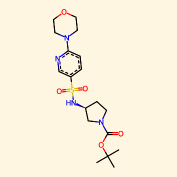 CC(C)(C)OC(=O)N1CC[C@H](NS(=O)(=O)c2ccc(N3CCOCC3)nc2)C1